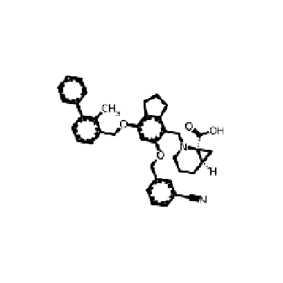 Cc1c(COc2cc(OCc3cccc(C#N)c3)c(CN3CCC[C@@H]4C[C@@]43C(=O)O)c3c2CCC3)cccc1-c1ccccc1